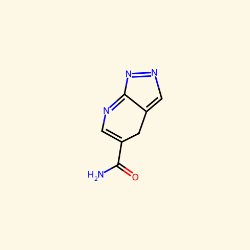 NC(=O)C1=CN=C2N=NC=C2C1